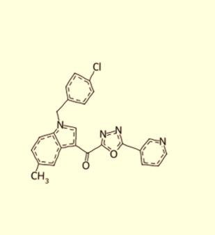 Cc1ccc2c(c1)c(C(=O)c1nnc(-c3cccnc3)o1)cn2Cc1ccc(Cl)cc1